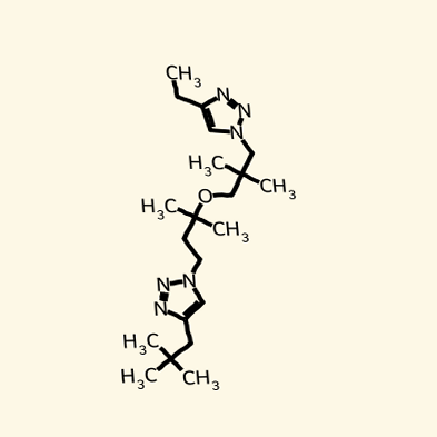 CCc1cn(CC(C)(C)COC(C)(C)CCn2cc(CC(C)(C)C)nn2)nn1